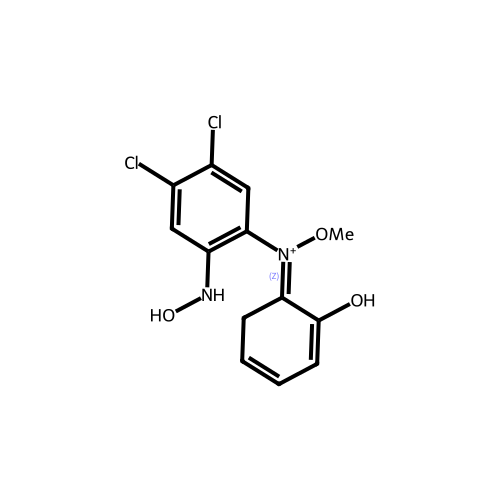 CO/[N+](=C1/CC=CC=C1O)c1cc(Cl)c(Cl)cc1NO